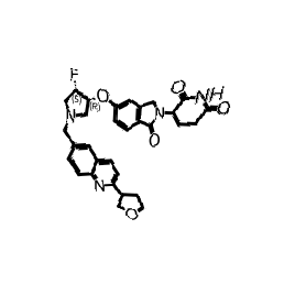 O=C1CCC(N2Cc3cc(O[C@@H]4CN(Cc5ccc6nc(C7CCOC7)ccc6c5)C[C@@H]4F)ccc3C2=O)C(=O)N1